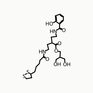 O=C(CCCCC1CCSS1)NCCC(CCNC(=O)c1ccccc1O)C(=O)OCC(CO)CO